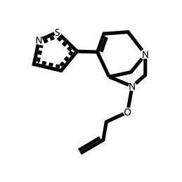 C=CCON1CN2CC=C(c3ccns3)C1C2